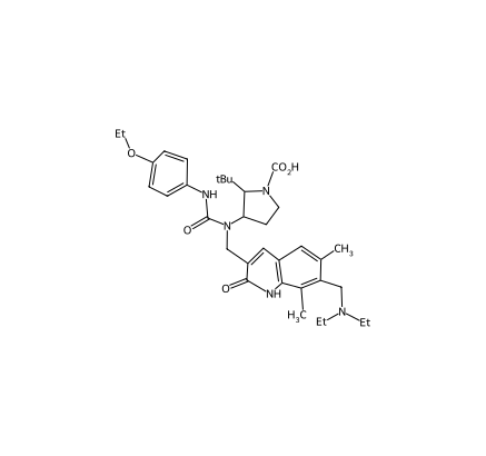 CCOc1ccc(NC(=O)N(Cc2cc3cc(C)c(CN(CC)CC)c(C)c3[nH]c2=O)C2CCN(C(=O)O)C2C(C)(C)C)cc1